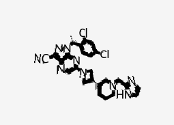 C[C@H](c1ccc(Cl)cc1Cl)n1nc(C#N)c2ncc(N3CC([C@H]4CCCN(Cc5ncc[nH]5)C4)C3)nc21